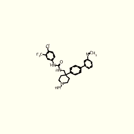 C=Nc1cccc(-c2ccc(C3(CNC(=O)Nc4ccc(Cl)c(C(F)(F)F)c4)CCN(CCC)CC3)cc2)c1